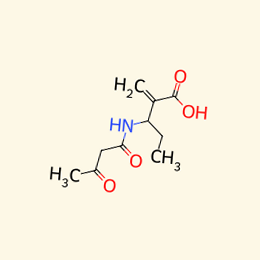 C=C(C(=O)O)C(CC)NC(=O)CC(C)=O